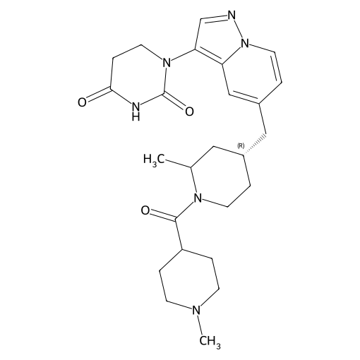 CC1C[C@H](Cc2ccn3ncc(N4CCC(=O)NC4=O)c3c2)CCN1C(=O)C1CCN(C)CC1